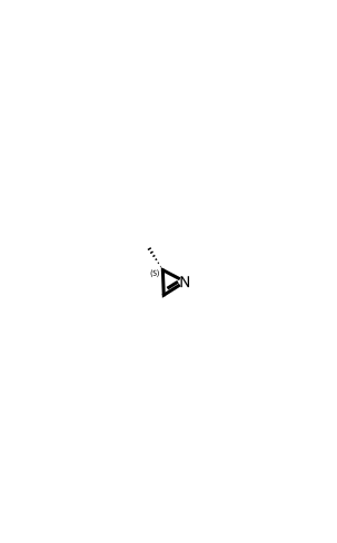 C[C@H]1C=N1